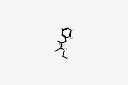 CCS/C(C)=C(/C)Cc1ccccc1